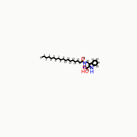 CCCCCCCCCCCCCCCCCC(=O)NCc1c(C(=O)O)[nH]c2ccccc12